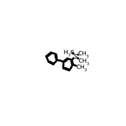 Cc1ccc(-c2ccccc2)cc1S(C)(C)C